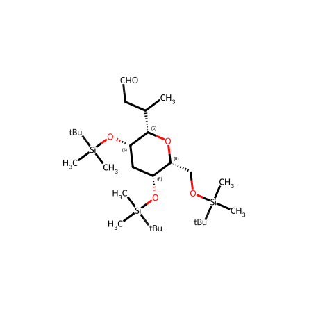 CC(CC=O)[C@@H]1O[C@H](CO[Si](C)(C)C(C)(C)C)[C@H](O[Si](C)(C)C(C)(C)C)C[C@@H]1O[Si](C)(C)C(C)(C)C